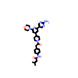 CC(C)=CC(=O)Nc1ccc(CC(=O)N2CC=C(c3cc(-c4cnc(N)nc4)nc(N4CCOCC4)c3)CC2)cc1